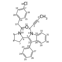 CC#CCn1c(C2CCCN2C(=O)Cc2ccc(Cl)cc2)c(-c2ccccc2)c2ccccc21